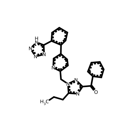 CCCc1nc(C(=O)c2ccccc2)nn1Cc1ccc(-c2ccccc2-c2nnn[nH]2)cn1